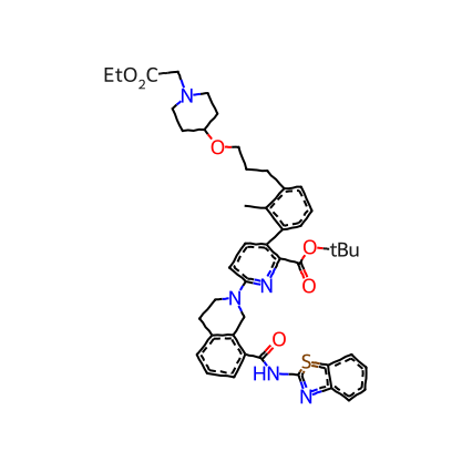 CCOC(=O)CN1CCC(OCCCc2cccc(-c3ccc(N4CCc5cccc(C(=O)Nc6nc7ccccc7s6)c5C4)nc3C(=O)OC(C)(C)C)c2C)CC1